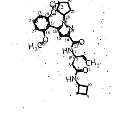 C=C[C@@H](CC(=O)NC1CCC1)NC(=O)c1cc(-c2c(OC)cccc2OC)n(C2CCCC2)n1